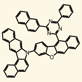 c1ccc(-c2nc(-c3ccc4ccccc4c3)nc(-c3c4ccccc4cc4oc5cc(-n6c7cc8ccccc8cc7c7c8ccccc8ccc76)ccc5c34)n2)cc1